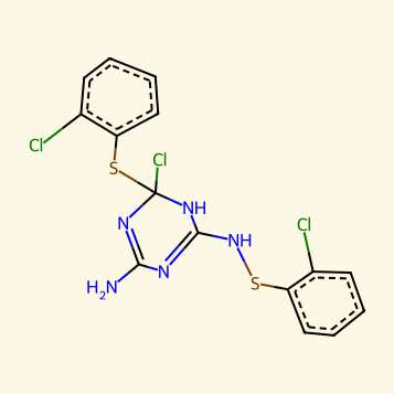 NC1=NC(Cl)(Sc2ccccc2Cl)NC(NSc2ccccc2Cl)=N1